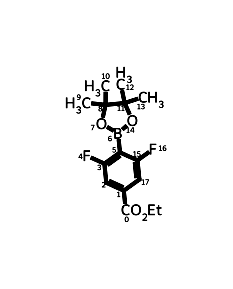 CCOC(=O)c1cc(F)c(B2OC(C)(C)C(C)(C)O2)c(F)c1